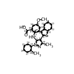 COc1ccc(Nc2c(-c3sc4ccccc4c3C)c(C)nn2-c2ccccc2C)c(C(=O)O)c1